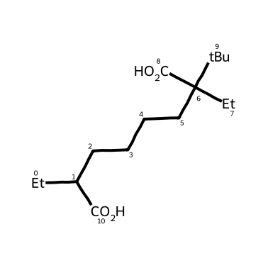 CCC(CCCCC(CC)(C(=O)O)C(C)(C)C)C(=O)O